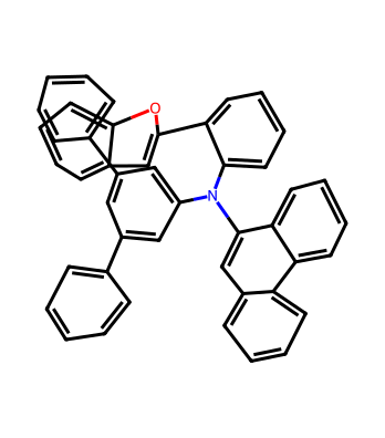 c1ccc(-c2cc(-c3ccccc3)cc(N(c3ccccc3-c3cc4ccccc4o3)c3cc4ccccc4c4ccccc34)c2)cc1